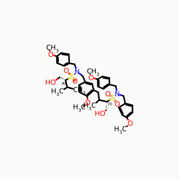 COc1ccc(CN(Cc2ccc(OC)cc2)S(=O)(=O)[C@H](CO)C(C)Cc2cc(CN(Cc3ccc(OC)cc3)S(=O)(=O)[C@@H](CO)C(C)C)ccc2OC)cc1